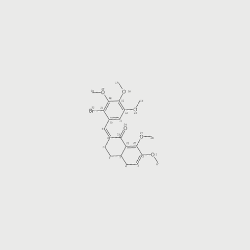 COC1=CCC2CCC(=Cc3cc(OC)c(OC)c(OC)c3Br)C(=O)C2=C1OC